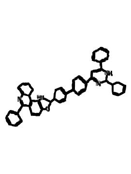 C1=CCC2C(=C1)N=C(c1ccccc1)c1ccc3c(c12)NC(C1C=CC(c2ccc(C4=NC(C5C=CC=CC5)NC(c5ccccc5)=C4)cc2)=CC1)O3